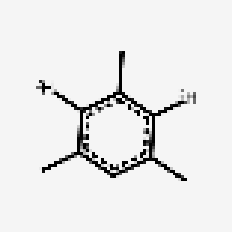 [2H]c1c(C)cc(C)c([2H])c1C